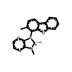 Cc1ccc2c(oc3ccccc32)c1N1c2nccnc2N(C)[C@H]1C